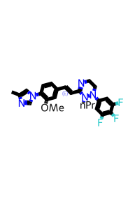 CCCN1C(/C=C/c2ccc(-n3cnc(C)c3)c(OC)c2)=NCCN1c1cc(F)c(F)c(F)c1